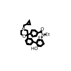 CCN(CC)C(=O)c1ccc(C2(c3cccc(-c4ccccc4O)c3)CN(CC3CC3)CCO2)cc1